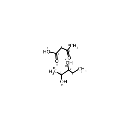 CC(=O)CC(=O)O.CCC(O)C(C)O